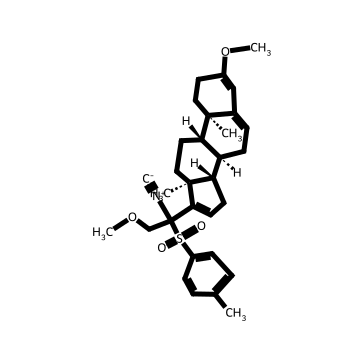 [C-]#[N+]C(COC)(C1=CC[C@H]2[C@@H]3CC=C4C=C(OC)CC[C@]4(C)[C@H]3CC[C@]12C)S(=O)(=O)c1ccc(C)cc1